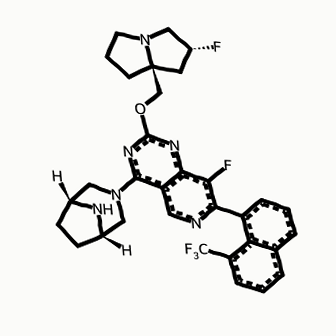 Fc1c(-c2cccc3cccc(C(F)(F)F)c23)ncc2c(N3C[C@H]4CC[C@@H](C3)N4)nc(OC[C@@]34CCCN3C[C@H](F)C4)nc12